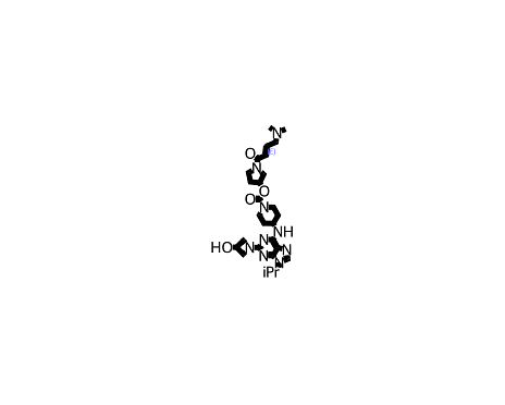 CC(C)n1cnc2c(NC3CCN(C(=O)OC4CCN(C(=O)/C=C/CN(C)C)C4)CC3)nc(N3CC(O)C3)nc21